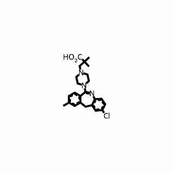 Cc1ccc2c(c1)Cc1cc(Cl)ccc1N=C2N1CCN(CC(C)(C)C(=O)O)CC1